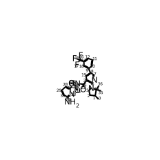 CC1CCN(c2ncc(-c3cccc(C(F)(F)F)c3)cc2C(=O)NS(=O)(=O)c2cccc(N)n2)C1(C)C